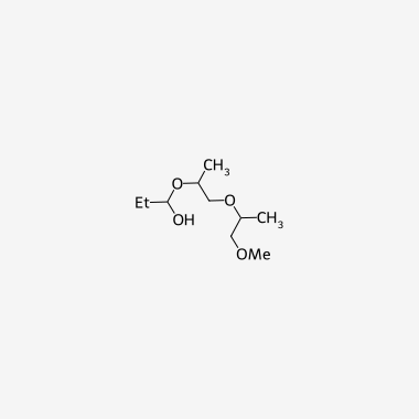 CCC(O)OC(C)COC(C)COC